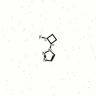 F[C@H]1CC[C@H]1n1ccnn1